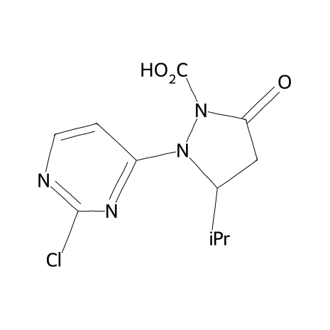 CC(C)C1CC(=O)N(C(=O)O)N1c1ccnc(Cl)n1